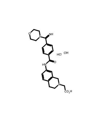 Cl.Cl.N=C(c1ccc(C(=O)Nc2ccc3c(c2)CN(CC(=O)O)CC3)cc1)N1CCOCC1